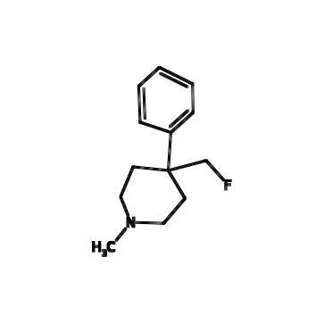 CN1CCC(CF)(c2ccccc2)CC1